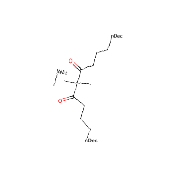 CCCCCCCCCCCCCC(=O)C(C)(C)C(=O)CCCCCCCCCCCCC.CNC